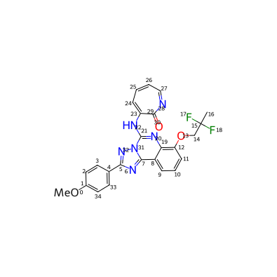 COc1ccc(-c2nc3c4cccc(OCC(C)(F)F)c4nc(Nc4ccccnc4=O)n3n2)cc1